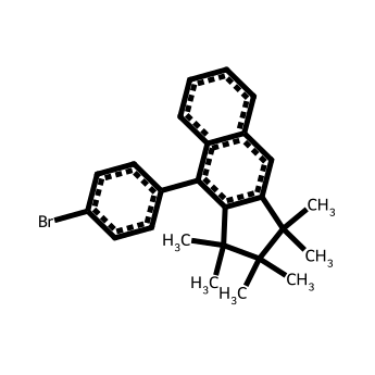 CC1(C)c2cc3ccccc3c(-c3ccc(Br)cc3)c2C(C)(C)C1(C)C